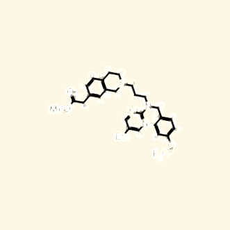 CCc1cnc(N(CCCN2CCc3ccc(CC(=O)OC)cc3C2)Cc2ccc(OC(F)(F)F)cc2)nc1